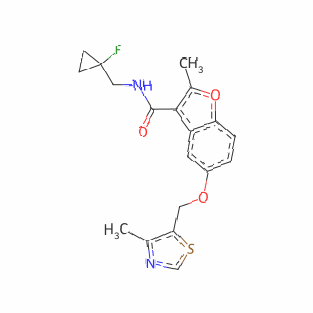 Cc1ncsc1COc1ccc2oc(C)c(C(=O)NCC3(F)CC3)c2c1